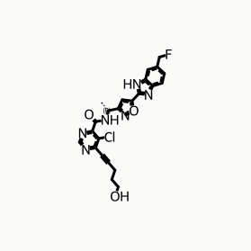 C[C@@H](NC(=O)c1ncnc(C#CCCCO)c1Cl)c1cc(-c2nc3ccc(CF)cc3[nH]2)on1